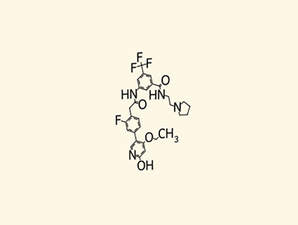 CCOc1cc(O)ncc1-c1ccc(CC(=O)Nc2cc(C(=O)NCCN3CCCC3)cc(C(F)(F)F)c2)c(F)c1